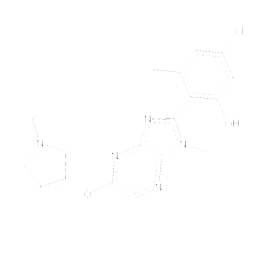 Cc1cc(Cl)cc(O)c1-c1nc2nc(O[C@@H]3CCN(C)C3)cnc2n1C